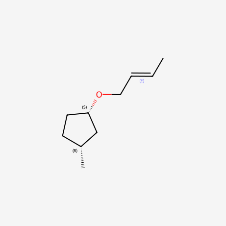 C/C=C/CO[C@H]1CC[C@@H](C)C1